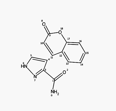 NC(=O)c1cc[nH]n1.O=c1ccc2ccccc2o1